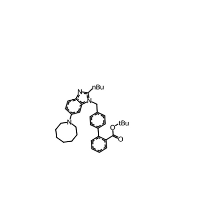 CCCCc1nc2ccc(N3CCCCCCC3)cc2n1Cc1ccc(-c2ccccc2C(=O)OC(C)(C)C)cc1